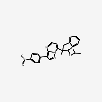 CC1OC(C(C)(Cc2ccccc2)c2ccnc3c(-c4ccc([N+](=O)[O-])cc4)cnn23)O1